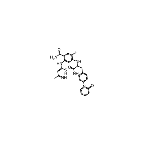 CC(=N)/C=C(\S)Nc1cc(NC(Cc2ccc(-n3ccccc3=O)cc2)C(N)=O)c(F)cc1C(N)=O